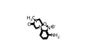 CN1CCN(c2cccc(N)c2[N+](=O)[O-])CC1=O